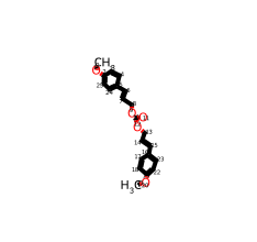 COc1ccc(C=CCOC(=O)OCC=Cc2ccc(OC)cc2)cc1